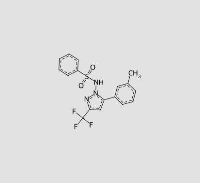 Cc1cccc(-c2cc(C(F)(F)F)nn2NS(=O)(=O)c2ccccc2)c1